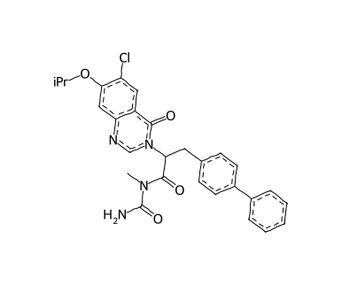 CC(C)Oc1cc2ncn(C(Cc3ccc(-c4ccccc4)cc3)C(=O)N(C)C(N)=O)c(=O)c2cc1Cl